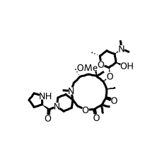 CO[C@]1(C)C[C@@H](C)CN(C)C2(CCN(C(=O)[C@H]3CCCN3)CC2)COC(=O)C(C)(C)C(=O)[C@H](C)[C@H]1O[C@@H]1O[C@H](C)C[C@H](N(C)C)[C@H]1O